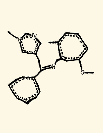 COc1cccc(C)c1N=C(c1ccccc1)c1cnn(C)c1